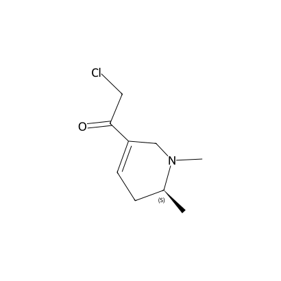 C[C@H]1CC=C(C(=O)CCl)CN1C